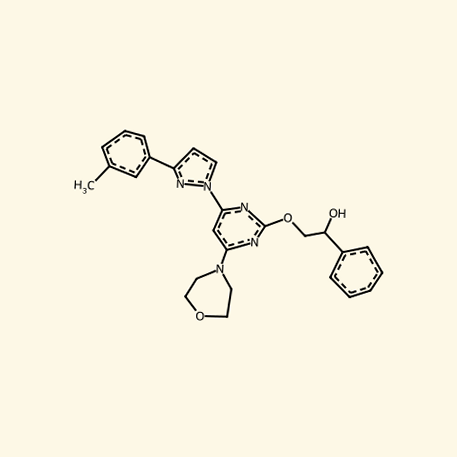 Cc1cccc(-c2ccn(-c3cc(N4CCOCC4)nc(OCC(O)c4ccccc4)n3)n2)c1